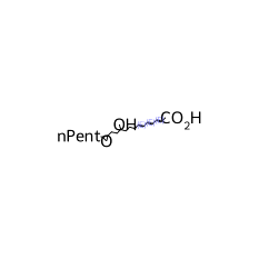 CCCCCC1OC1CCC(O)CCC/C=C/C=C/C=C/C(=O)O